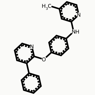 Cc1ccnc(Nc2ccc(Oc3ncccc3-c3ccccc3)cc2)c1